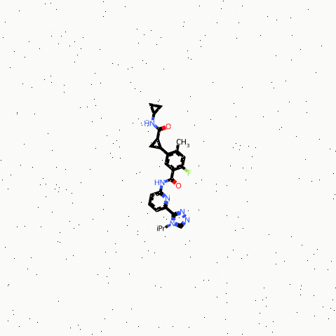 Cc1cc(F)c(C(=O)Nc2cccc(-c3nncn3C(C)C)n2)cc1C1CC1C(=O)NC1CC1